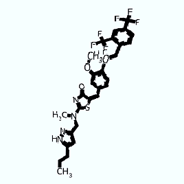 CCCc1cc(CN(C)C2=NC(=O)/C(=C\c3ccc(OCc4ccc(C(F)(F)F)cc4C(F)(F)F)c(OC)c3)S2)n[nH]1